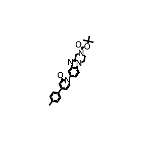 Cc1ccc(-c2ccn(-c3ccc4c(c3)nc3n4CCN(C(=O)OC(C)(C)C)C3)c(=O)c2)cc1